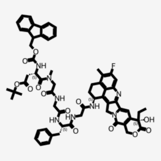 CC[C@@]1(O)C(=O)OCc2c1cc1n(c2=O)Cc2c-1nc1cc(F)c(C)c3c1c2[C@@H](NC(=O)CNC(=O)[C@H](Cc1ccccc1)NC(=O)CNC(=O)CN(C)C(=O)[C@H](CC(=O)OC(C)(C)C)NC(=O)OCC1c2ccccc2-c2ccccc21)CC3